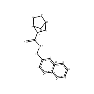 O=C(OCc1ccc2ccccc2c1)C1CC2CCC1C2